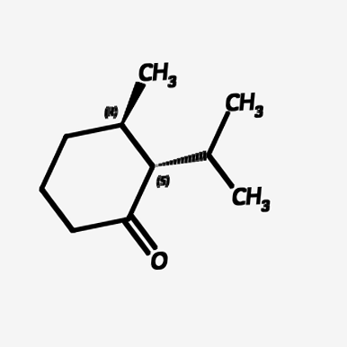 CC(C)[C@@H]1C(=O)CCC[C@H]1C